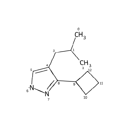 CC(C)CC1=C[N]N=C1C1CCC1